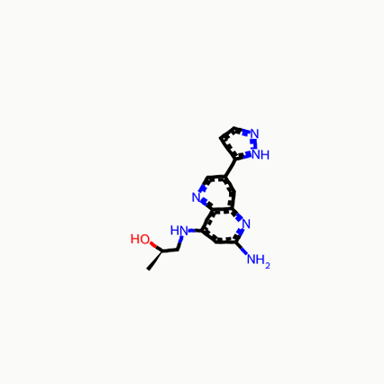 C[C@@H](O)CNc1cc(N)nc2cc(-c3ccn[nH]3)cnc12